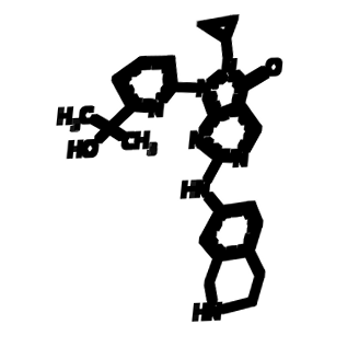 CC(C)(O)c1cccc(-n2c3nc(Nc4ccc5c(c4)CNCC5)ncc3c(=O)n2C2CC2)n1